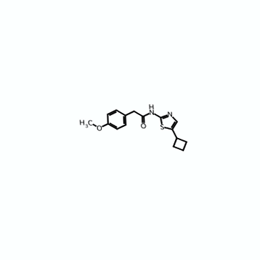 COc1ccc(CC(=O)Nc2ncc(C3CCC3)s2)cc1